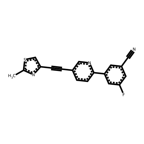 Cc1nc(C#Cc2ccc(-c3cc(F)cc(C#N)c3)nc2)cs1